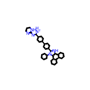 NC(/N=c1/nccc[nH]1)c1ccc(-c2ccc(C3Nc4c(c5ccccc5c5ccccc45)N3c3ccccc3)cc2)cc1